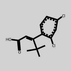 CC(C)(C)/C(=C\C(=O)O)c1ccc(Cl)cc1Cl